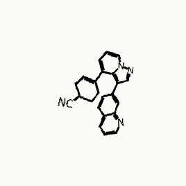 N#CC1CC=C(c2cccn3ncc(-c4ccc5cccnc5c4)c23)CC1